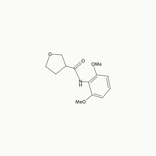 COc1cccc(OC)c1NC(=O)C1CCOC1